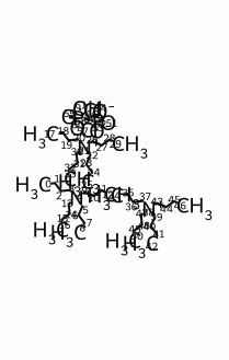 CCCC[N+](CCCC)(CCCC)CCCC.CCCC[N+](CCCC)(CCCC)CCCC.CCCC[N+](CCCC)(CCCC)CCCC.O=P([O-])([O-])C(Cl)(Cl)P(=O)([O-])O